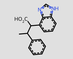 CC(c1ccccc1)C(C(=O)O)c1cccc2[nH]cnc12